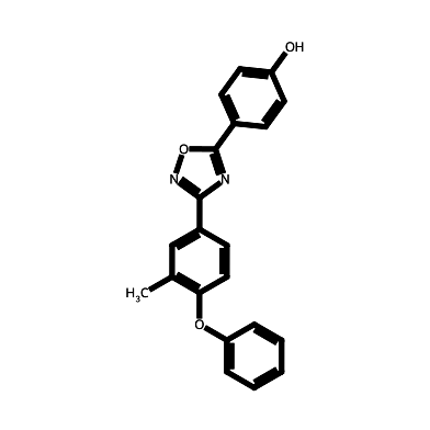 Cc1cc(-c2noc(-c3ccc(O)cc3)n2)ccc1Oc1ccccc1